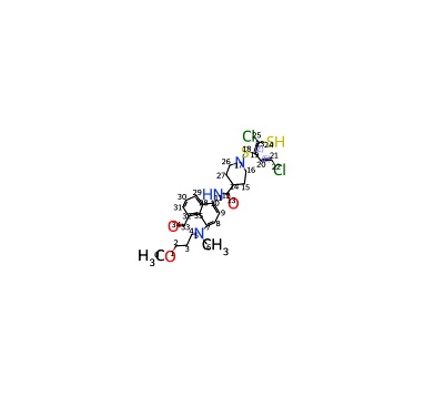 COCCCN(C)c1ccc(NC(=O)C2CCN(SC(/C=C/Cl)=C(/S)Cl)CC2)c2cccc(C=O)c12